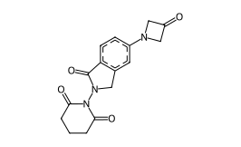 O=C1CN(c2ccc3c(c2)CN(N2C(=O)CCCC2=O)C3=O)C1